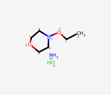 CCON1CCOCC1.Cl.N